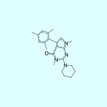 Cc1cc(C)c(-c2cn(C)c3nc(N4CCCCC4)n(C)c(=O)c23)c(C)c1